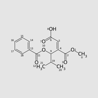 COC(=O)/C(=C/C(=O)O)C(OC(=O)c1ccccc1)C(C)C